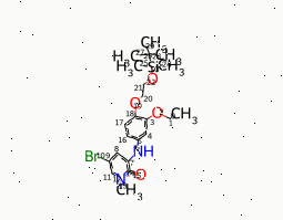 CCOc1cc(Nc2cc(Br)cn(C)c2=O)ccc1OCCO[Si](C)(C)C(C)(C)C